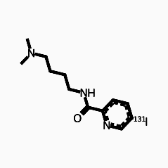 CN(C)CCCCNC(=O)c1ccc([131I])cn1